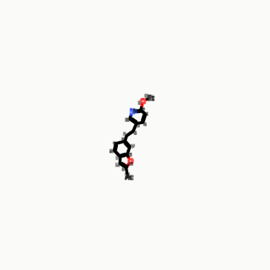 CCOc1ccc(CCc2ccc3cc(C(C)=O)oc3c2)cn1